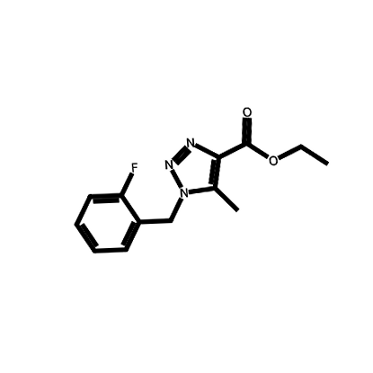 CCOC(=O)c1nnn(Cc2ccccc2F)c1C